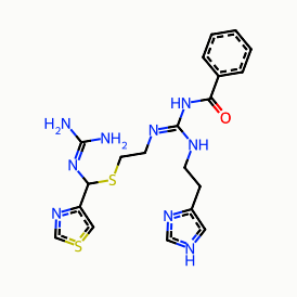 NC(N)=NC(SCC/N=C(\NCCc1c[nH]cn1)NC(=O)c1ccccc1)c1cscn1